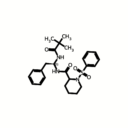 CC(C)(C)C(=O)N[C@H](Cc1ccccc1)NC(=O)C1CCCCN1S(=O)(=O)c1ccccc1